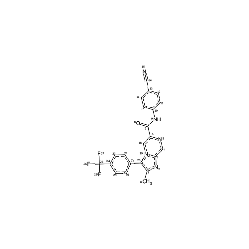 Cc1nc2cnc(C(=O)Nc3ccc(C#N)cc3)cn2c1-c1ccc(C(F)(F)F)cc1